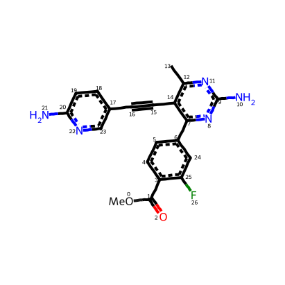 COC(=O)c1ccc(-c2nc(N)nc(C)c2C#Cc2ccc(N)nc2)cc1F